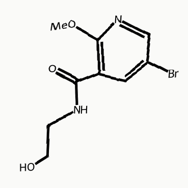 COc1ncc(Br)cc1C(=O)NCCO